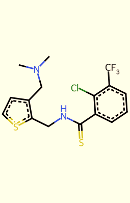 CN(C)Cc1ccsc1CNC(=S)c1cccc(C(F)(F)F)c1Cl